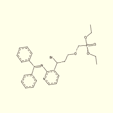 CCOP(=O)(COCCC(Br)c1cccnc1N=C(c1ccccc1)c1ccccc1)OCC